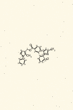 Cc1c(COC(=O)c2ccc(-c3cc(C(F)(F)F)nn3-c3ccccc3Cl)cc2)cnn1-c1ccccc1